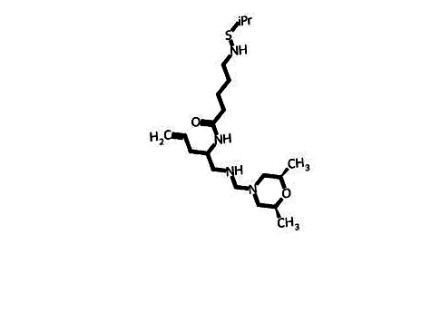 C=CCC(CNCN1C[C@@H](C)O[C@@H](C)C1)NC(=O)CCCCNSC(C)C